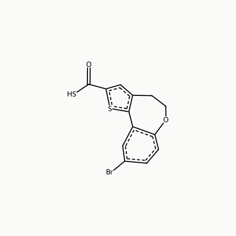 O=C(S)c1cc2c(s1)-c1cc(Br)ccc1OCC2